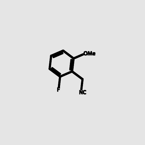 [C-]#[N+]Cc1c(F)cccc1OC